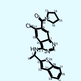 CC(Nc1ncnc2cc(C(=O)N3CCCC3)c(Cl)cc12)c1cc2ccccc2s1